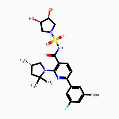 CC(C)COc1cc(F)cc(-c2ccc(C(=O)NS(=O)(=O)N3C[C@@H](O)[C@@H](O)C3)c(N3C[C@@H](C)CC3(C)C)n2)c1